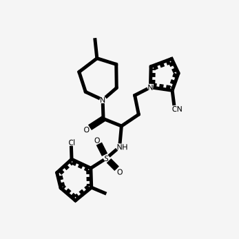 Cc1cccc(Cl)c1S(=O)(=O)NC(CCn1cccc1C#N)C(=O)N1CCC(C)CC1